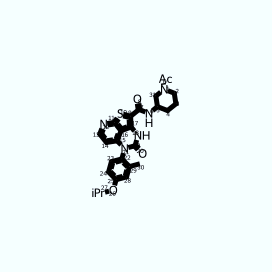 CC(=O)N1CCCC(NC(=O)c2sc3nccc4c3c2NC(=O)N4c2ccc(OC(C)C)cc2C)C1